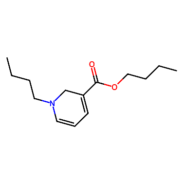 CCCCOC(=O)C1=CC=CN(CCCC)C1